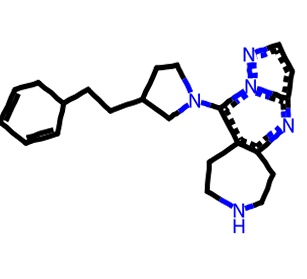 C1=CCC(CCC2CCN(c3c4c(nc5ccnn35)CCNCC4)C2)C=C1